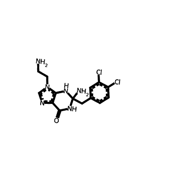 NCCn1cnc2c1NC(N)(Cc1ccc(Cl)c(Cl)c1)NC2=O